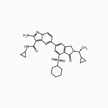 C[C@@H](C1CC1)N1Cc2cc(-c3ccn4nc(N)c(C(=O)NC5CC5)c4n3)cc(S(=O)(=O)C3CCCCC3)c2C1=O